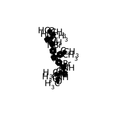 COC(=O)N[C@H](C(=O)N1CCC[C@H]1c1nc(-c2ccc([C@@H]3CC[C@@H](c4ccc(-c5nc([C@@H]6CCCN6C(=O)[C@@H](NC(=O)O)C(C)C)[nH]c5Br)cc4)N3c3ccc(C(C)(C)C)cc3)cc2)c(Br)[nH]1)C(C)C